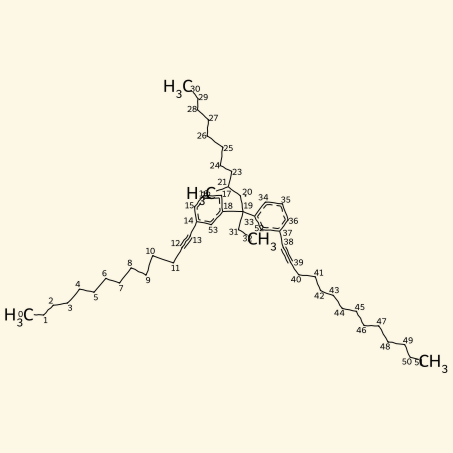 CCCCCCCCCCCCC#Cc1cccc(C([CH]C(C)CCCCCCCC)(CC)c2cccc(C#CCCCCCCCCCCCC)c2)c1